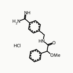 COC(C(=O)NCc1ccc(C(=N)N)cc1)c1ccccc1.Cl